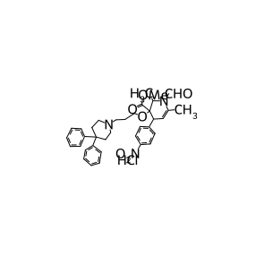 COC(=O)C1(OCCCN2CCC(c3ccccc3)(c3ccccc3)CC2)C(c2ccc([N+](=O)[O-])cc2)C=C(C)N(C=O)C1C.Cl